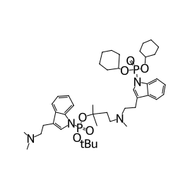 CN(C)CCc1cn(P(=O)(OC(C)(C)C)OC(C)(C)CCN(C)CCc2cn(P(=O)(OC3CCCCC3)OC3CCCCC3)c3ccccc23)c2ccccc12